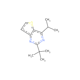 CC(C)c1nc(C(C)(C)C)nc2ccsc12